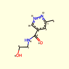 Cc1cc(C(=O)NCCO)cnn1